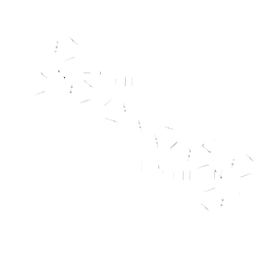 CC1(C)c2cc(/C=C/c3ccc4c(c3)C(C)(C)c3cc(N5c6ccccc6Sc6ccccc65)c5c(c3-4)C5)ccc2-c2ccc(N3C4=C(CCC=C4)Cc4ccccc43)cc21